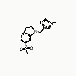 Cn1cnc(CN2CCc3ccc(S(C)(=O)=O)cc32)c1